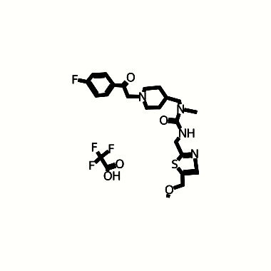 COCc1cnc(CNC(=O)N(C)CC2CCN(CC(=O)c3ccc(F)cc3)CC2)s1.O=C(O)C(F)(F)F